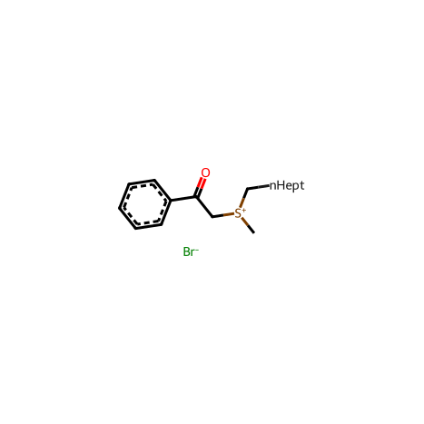 CCCCCCCC[S+](C)CC(=O)c1ccccc1.[Br-]